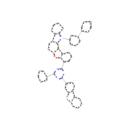 c1ccc(-c2cccc(-n3c4ccccc4c4ccc5oc6c(-c7nc(-c8ccccc8)nc(-c8ccc9c(c8)sc8ccccc89)n7)cccc6c5c43)c2)cc1